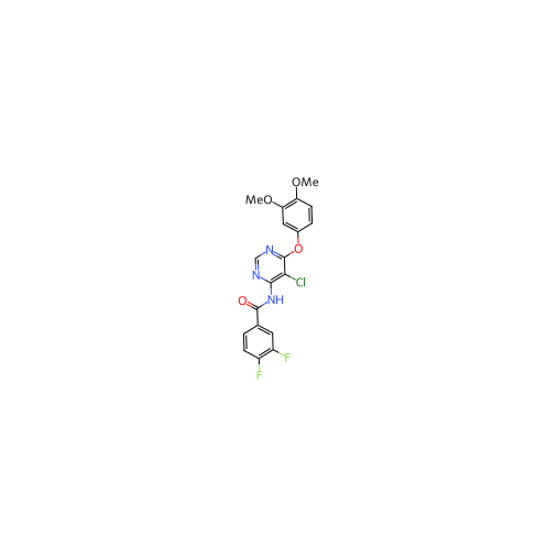 COc1ccc(Oc2ncnc(NC(=O)c3ccc(F)c(F)c3)c2Cl)cc1OC